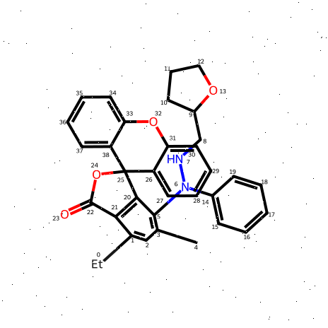 CCc1cc(C)c(N(NCC2CCCO2)c2ccccc2)c2c1C(=O)OC21c2ccccc2Oc2ccccc21